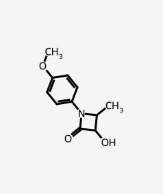 COc1ccc(N2C(=O)C(O)C2C)cc1